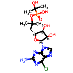 CC(C)(C[C@H]1O[C@@H](n2cnc3c(Cl)nc(N)nc32)[C@H](O)[C@@H]1O)OP(=O)(O)C(C)(C)O